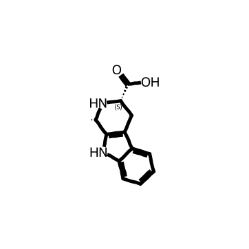 O=C(O)[C@@H]1Cc2c([nH]c3ccccc23)[CH]N1